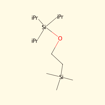 CC(C)[Si](OCC[Si](C)(C)C)(C(C)C)C(C)C